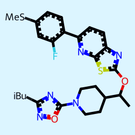 CCC(C)c1noc(N2CCC(C(C)Oc3nc4ccc(-c5ccc(SC)cc5F)nc4s3)CC2)n1